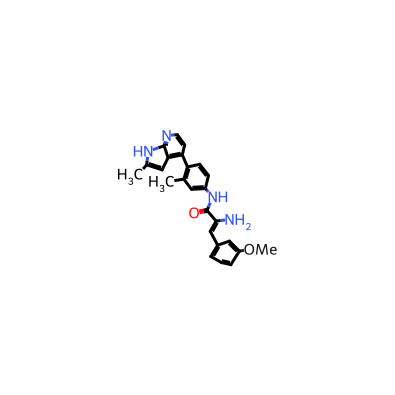 COc1cccc(C=C(N)C(=O)Nc2ccc(-c3ccnc4[nH]c(C)cc34)c(C)c2)c1